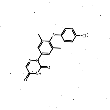 Cc1cc(-n2ncc(=O)[nH]c2=O)cc(C)c1Sc1ccc(Cl)cc1